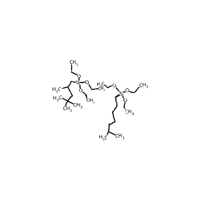 CCO[Si](CC(C)CC(C)(C)C)(OCC)OCC.CCO[Si](CCCCCC(C)C)(OCC)OCC